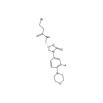 O=C(CCBr)NC[C@H]1CN(c2ccc(N3CCOCC3)c(F)c2)C(=O)O1